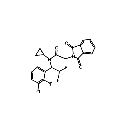 O=C1c2ccccc2C(=O)N1CC(=O)N(C1CC1)C(c1cccc(Cl)c1F)C(F)F